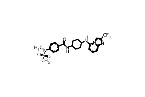 CN(c1ccc(C(=O)NC2CCC(Nc3cccc4nc(C(F)(F)F)cn34)CC2)cc1)S(C)(=O)=O